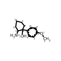 COc1ccc(C2(O)CCCCC2N)cc1